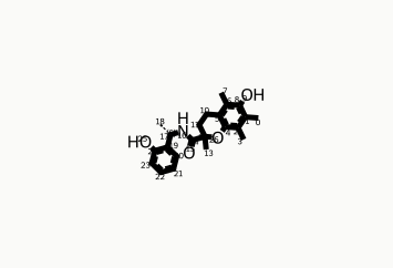 Cc1c(C)c2c(c(C)c1O)CCC(C)(C(=O)N[C@@H](C)c1ccccc1O)O2